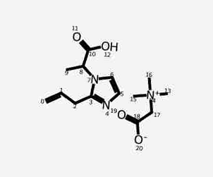 C=CCc1nccn1C(C)C(=O)O.C[N+](C)(C)CC(=O)[O-]